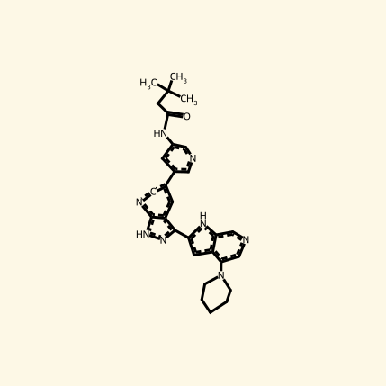 CC(C)(C)CC(=O)Nc1cncc(-c2cnc3[nH]nc(-c4cc5c(N6CCCCC6)cncc5[nH]4)c3c2)c1